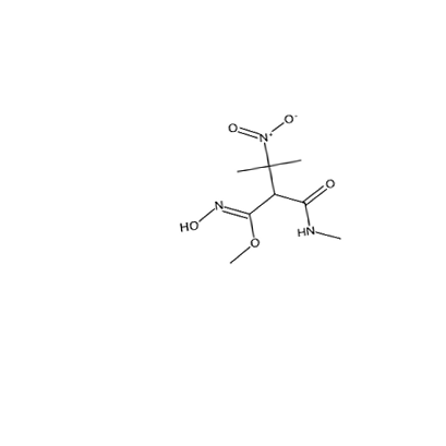 CNC(=O)C(C(=NO)OC)C(C)(C)[N+](=O)[O-]